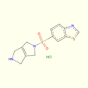 Cl.O=S(=O)(c1ccc2ncsc2c1)N1CC2=C(CNC2)C1